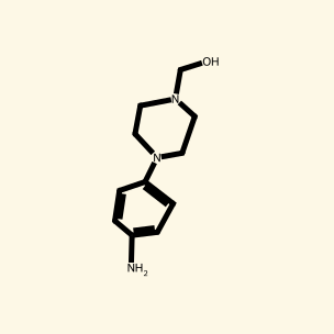 Nc1ccc(N2CCN(CO)CC2)cc1